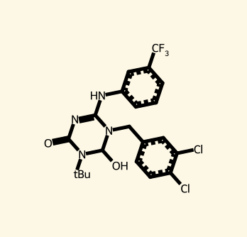 CC(C)(C)N1C(=O)N=C(Nc2cccc(C(F)(F)F)c2)N(Cc2ccc(Cl)c(Cl)c2)C1O